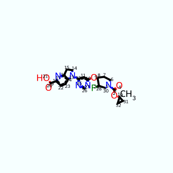 CC1(OC(=O)N2CCC(Oc3cc(N4CCc5nc(C(=O)O)ccc54)ncn3)C(F)C2)CC1